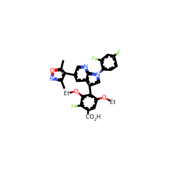 CCOc1cc(C(=O)O)c(F)c(OCC)c1-c1cn(-c2ccc(F)cc2F)c2ncc(-c3c(C)noc3C)cc12